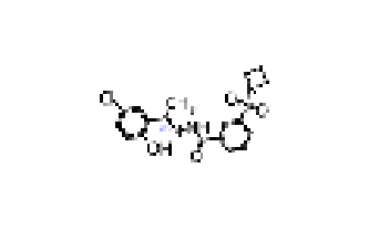 C/C(=N\NC(=O)c1cccc(S(=O)(=O)N2CCC2)c1)c1cc(Cl)ccc1O